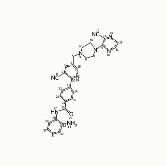 N#Cc1cc(CN2CCN(c3nccnc3C#N)CC2)cnc1-c1ccc(C(=O)Nc2ccccc2N)cc1